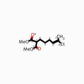 CCC(C)=CCCCC(C(=O)OC)C(=O)OC